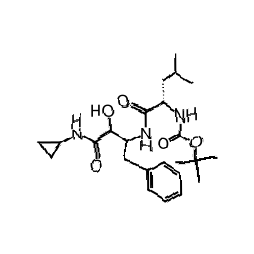 CC(C)C[C@H](NC(=O)OC(C)(C)C)C(=O)NC(Cc1ccccc1)C(O)C(=O)NC1CC1